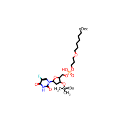 CCCCCCCCCCCCCCCCOCCCOP(=O)(O)OCC1OC(n2cc(F)c(=O)[nH]c2=O)CC1O[Si](C)(C)C(C)(C)C